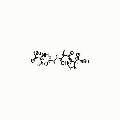 CC(OCCCC(O)C(C)C(=O)N1CCCC1C(=O)C(C)(C)C)C(N)C(=O)C(C)(C)C